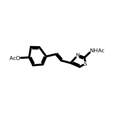 CC(=O)Nc1nc(C=Cc2ccc(OC(C)=O)cc2)cs1